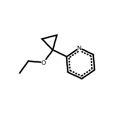 CCOC1(c2ccccn2)CC1